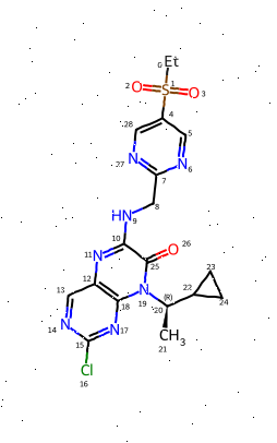 CCS(=O)(=O)c1cnc(CNc2nc3cnc(Cl)nc3n([C@H](C)C3CC3)c2=O)nc1